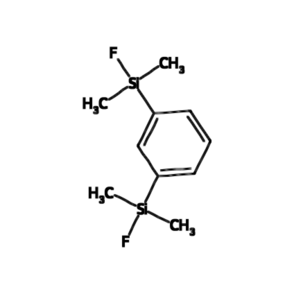 C[Si](C)(F)c1cccc([Si](C)(C)F)c1